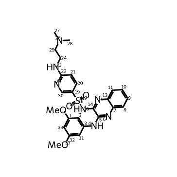 COc1cc(Nc2nc3ccccc3nc2NS(=O)(=O)c2ccc(NCCN(C)C)nc2)cc(OC)c1